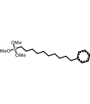 CO[Si](CCCCCCCCCCc1ccccc1)(OC)OC